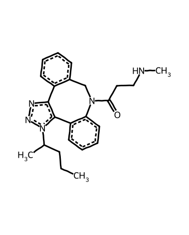 CCCC(C)n1nnc2c1-c1ccccc1N(C(=O)CCNC)Cc1ccccc1-2